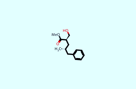 COC(=O)[C@@H](CO)C[C@@H](C)Cc1ccccc1